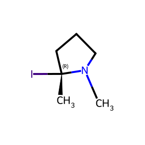 CN1CCC[C@@]1(C)I